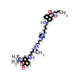 C=CN(/C=N/CCCC[n+]1ccn(CCCCCNc2ccc3c4c(cccc24)C(=O)N(CCCC)C3=O)c1)CCCCCNc1ccc(C(=O)N(C)CC)c2c(C=O)cccc12